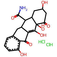 Cl.Cl.NC(=O)C1C2Cc3cccc(O)c3C(=O)C2=C(O)C2(O)C(=O)CC(O)CC12